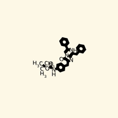 CC(C)(C)OC(=O)Nc1ccc(Cc2nc3c(Cc4ccccc4)[nH]c(-c4ccccc4)cn-3c2=O)cc1